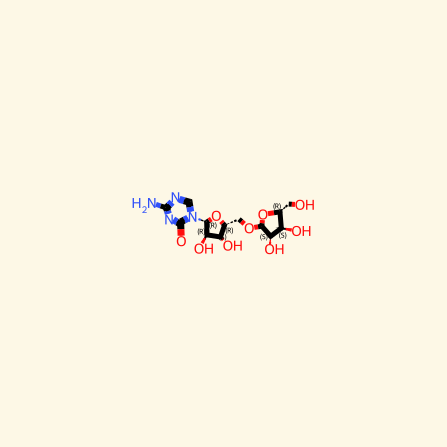 Nc1ncn([C@@H]2O[C@H](COC3O[C@H](CO)[C@@H](O)[C@@H]3O)[C@@H](O)[C@H]2O)c(=O)n1